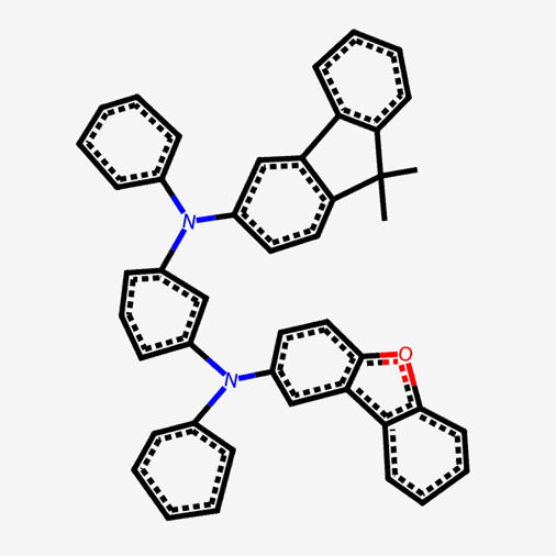 CC1(C)c2ccccc2-c2cc(N(c3ccccc3)c3cccc(N(c4ccccc4)c4ccc5oc6ccccc6c5c4)c3)ccc21